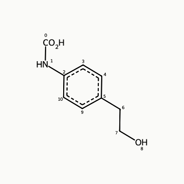 O=C(O)Nc1ccc(CCO)cc1